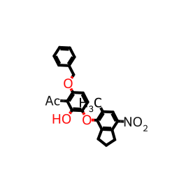 CC(=O)c1c(OCc2ccccc2)ccc(Oc2c(C)cc([N+](=O)[O-])c3c2CCC3)c1O